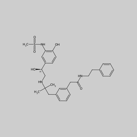 CC(C)(Cc1cccc(CC(=O)NCCc2ccccc2)c1)NC[C@@H](O)c1ccc(O)c(NS(C)(=O)=O)c1